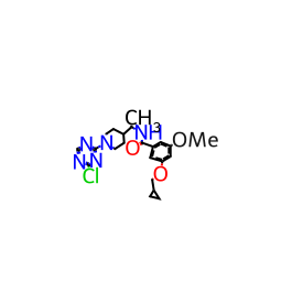 COc1cc(OCC2CC2)cc(C(=O)NC(C)C2CCN(c3ncnc(Cl)n3)CC2)c1